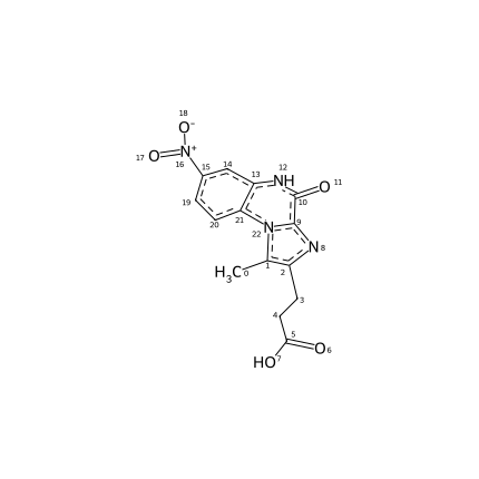 Cc1c(CCC(=O)O)nc2c(=O)[nH]c3cc([N+](=O)[O-])ccc3n12